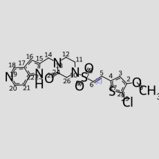 COc1cc(/C=C/S(=O)(=O)N2CCN(Cc3cc4cnccc4[nH]3)C(=O)C2)sc1Cl